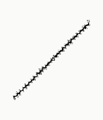 CCCCCCCCCCCCCCCCCCCCCCCCCCCCSCCCCCCCCCCCCCCCCCCCCCCCCC